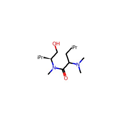 CC(C)CC(C(=O)N(C)[C@H](CO)C(C)C)N(C)C